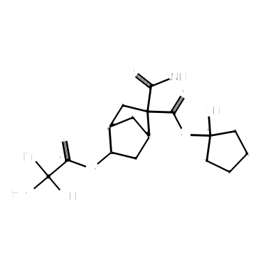 CCC(C)(C)C(=O)OC1CC2CC1CC2(C(N)=O)C(=O)OC1(C)CCCC1